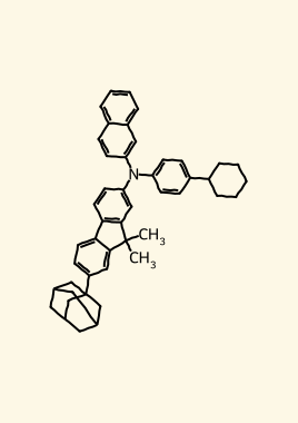 CC1(C)c2cc(N(c3ccc(C4CCCCC4)cc3)c3ccc4ccccc4c3)ccc2-c2ccc(C34CC5CC(CC(C5)C3)C4)cc21